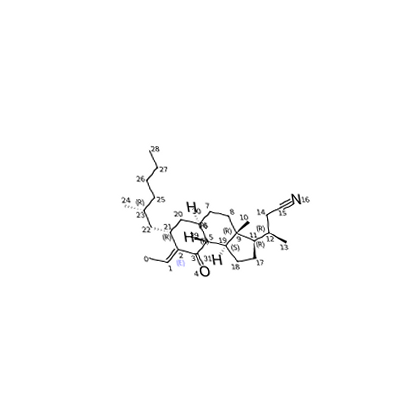 C/C=C1/C(=O)[C@@H]2[C@H](CC[C@]3(C)[C@@H]([C@H](C)CC#N)CC[C@@H]23)C[C@H]1C[C@H](C)CCCC